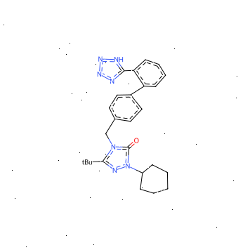 CC(C)(C)c1nn(C2CCCCC2)c(=O)n1Cc1ccc(-c2ccccc2-c2nnn[nH]2)cc1